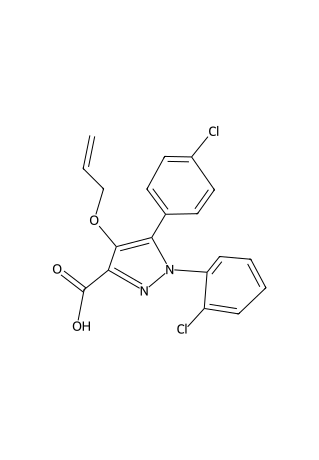 C=CCOc1c(C(=O)O)nn(-c2ccccc2Cl)c1-c1ccc(Cl)cc1